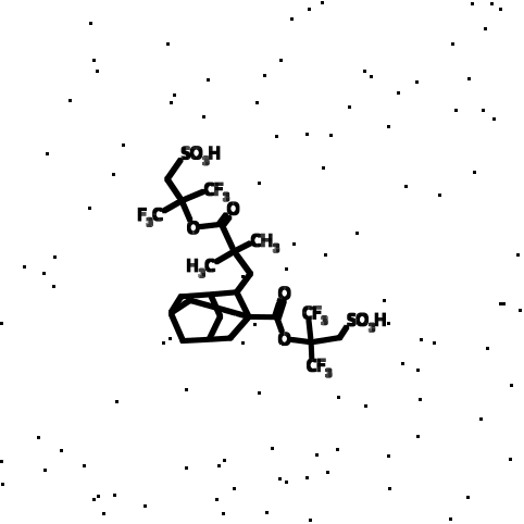 CC(C)(CC1C2CC3CC(C2)CC1(C(=O)OC(CS(=O)(=O)O)(C(F)(F)F)C(F)(F)F)C3)C(=O)OC(CS(=O)(=O)O)(C(F)(F)F)C(F)(F)F